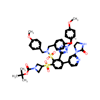 COc1ccc(CN(Cc2ccc(OC)cc2)S(=O)(=O)c2c(S(=O)(=O)C3CN(C(=O)OC(C)(C)C)C3)ccc(-c3ccnc(N4CCNC4=O)c3)c2-c2nnn(Cc3ccc(OC)cc3)n2)cc1